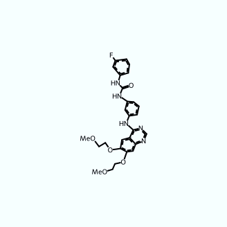 COCCOc1cc2ncnc(Nc3cccc(NC(=O)Nc4cccc(F)c4)c3)c2cc1OCCOC